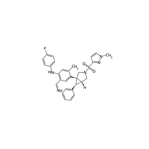 Cc1cc(Nc2ccc(F)cc2)c(C=N)cc1[C@@]12CN(S(=O)(=O)c3ccn(C)n3)C[C@@H]1[C@H]2c1ccccc1